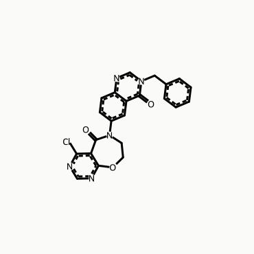 O=C1c2c(Cl)ncnc2OCCN1c1ccc2ncn(Cc3ccccc3)c(=O)c2c1